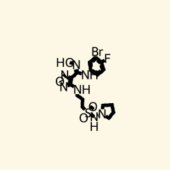 O=S(=O)(CCCNc1nonc1C(=NO)Nc1ccc(F)c(Br)c1)NN1CCCC1